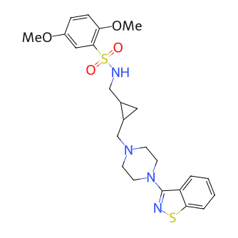 COc1ccc(OC)c(S(=O)(=O)NCC2CC2CN2CCN(c3nsc4ccccc34)CC2)c1